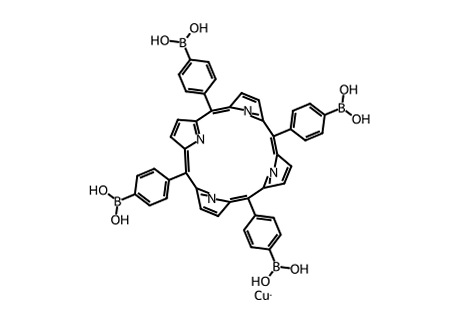 OB(O)c1ccc(C2=C3C=CC(=N3)C(c3ccc(B(O)O)cc3)=C3C=CC(=N3)C(c3ccc(B(O)O)cc3)=C3C=CC(=N3)C(c3ccc(B(O)O)cc3)=C3C=CC2=N3)cc1.[Cu]